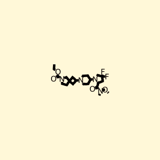 CCOC(=O)N1CCC2(CC(N3CCC(N4CC(F)(F)CC4C(=O)N(C)OC)CC3)C2)C1